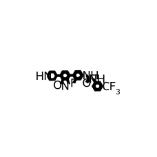 O=C(Nc1cccc(C(F)(F)F)c1)Nc1ccc(-c2ccc(C3CCNCC3)c3c2C=NC3=O)c(F)c1